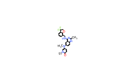 CCn1cc(N(C)c2ccc3nc(C)nc(NCc4cccc5c4OCC5(F)F)c3c2)ccc1=O